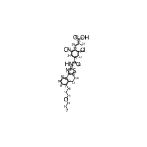 CCCOCCCc1cccc2c1CCc1sc(NC(=O)c3cc(Cl)c(C=C(C)C(=O)O)c(Cl)c3)nc1-2